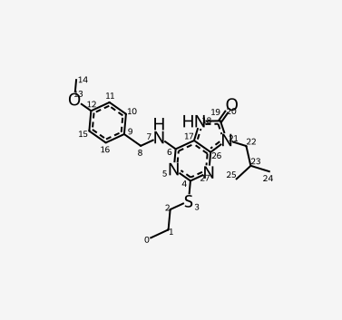 CCCSc1nc(NCc2ccc(OC)cc2)c2[nH]c(=O)n(CC(C)C)c2n1